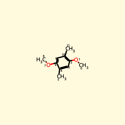 COc1[c]c(C)c(OC)[c]c1C